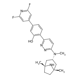 CN(c1ccc(-c2ccc(-c3cc(F)nc(F)c3)cc2O)nn1)[C@@H]1C[C@]2(C)CC[C@](C)(C1)N2